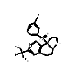 O=S(=O)(c1cccc(F)c1)C12CCNC1CCc1cc(C(F)(C(F)(F)F)C(F)(F)F)ncc12